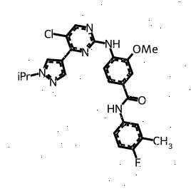 COc1cc(C(=O)Nc2ccc(F)c(C)c2)ccc1Nc1ncc(Cl)c(-c2cnn(C(C)C)c2)n1